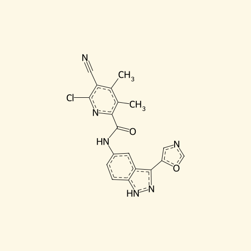 Cc1c(C(=O)Nc2ccc3[nH]nc(-c4cnco4)c3c2)nc(Cl)c(C#N)c1C